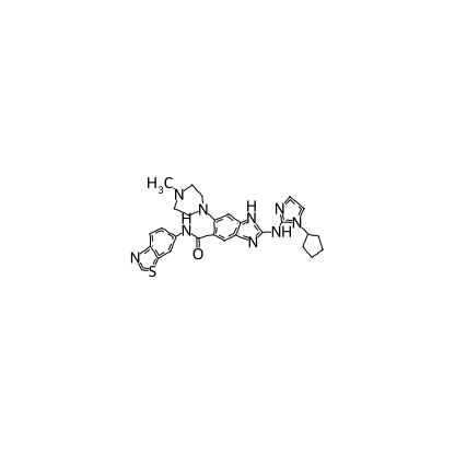 CN1CCN(c2cc3[nH]c(Nc4nccn4C4CCCC4)nc3cc2C(=O)Nc2ccc3ncsc3c2)CC1